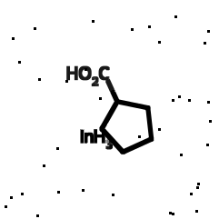 O=C(O)C1CCCC1.[InH3]